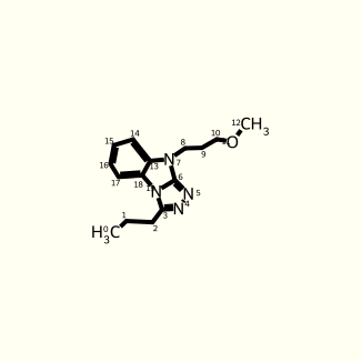 CCCc1nnc2n(CCCOC)c3ccccc3n12